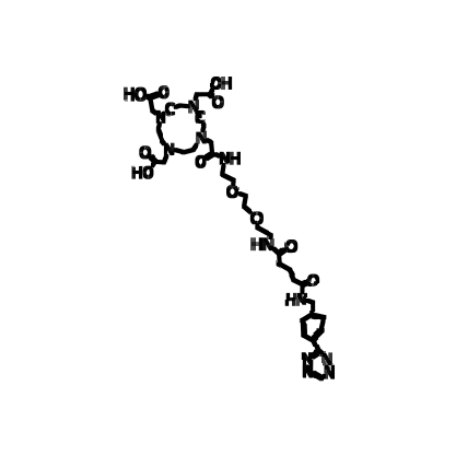 O=C(O)CN1CCN(CC(=O)O)CCN(CC(=O)NCCOCCOCCNC(=O)CCCC(=O)NCc2ccc(-c3nncnn3)cc2)CCN(CC(=O)O)CC1